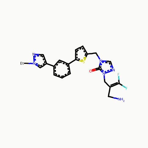 CCn1cc(-c2cccc(-c3ccc(Cn4cnn(CC(CN)=C(F)F)c4=O)s3)c2)cn1